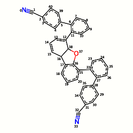 N#Cc1ccc(-c2ccccc2C2=CC=CC3c4cccc(-c5ccccc5-c5ccc(C#N)cc5)c4OC23)cc1